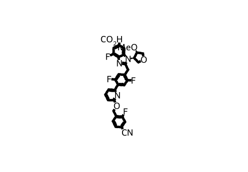 CO[C@H]1COC[C@H]1n1c(Cc2cc(F)c(-c3cccc(OCc4ccc(C#N)cc4F)n3)cc2F)nc2c(F)cc(C(=O)O)cc21